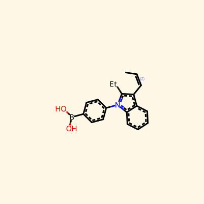 C/C=C\c1c(CC)n(-c2ccc(B(O)O)cc2)c2ccccc12